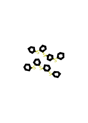 c1ccc(Sc2ccc(Sc3ccccc3Sc3ccccc3)cc2)cc1.c1ccc(Sc2cccc(Sc3ccccc3Sc3ccccc3)c2)cc1